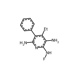 CCc1c(N)c(NF)nc(N)c1-c1ccccc1